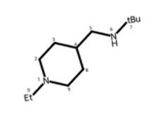 CCN1CCC(CNC(C)(C)C)CC1